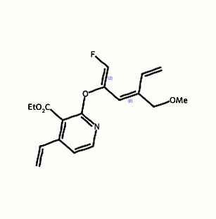 C=C/C(=C\C(=C\F)Oc1nccc(C=C)c1C(=O)OCC)COC